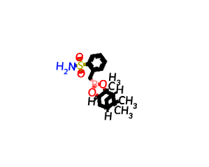 CC1(C)[C@@H]2C[C@H]3OB(Cc4ccccc4S(N)(=O)=O)O[C@@]3(C)[C@H]1C2